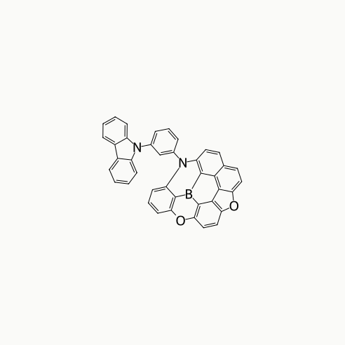 c1cc(N2c3cccc4c3B3c5c2ccc2ccc6oc7ccc(c3c7c6c52)O4)cc(-n2c3ccccc3c3ccccc32)c1